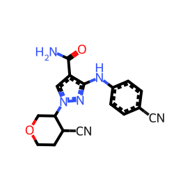 N#Cc1ccc(Nc2nn(C3COCCC3C#N)cc2C(N)=O)cc1